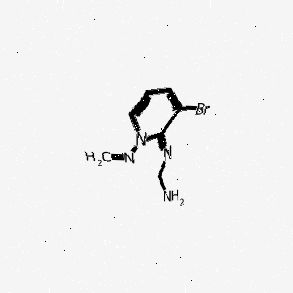 C=Nn1cccc(Br)/c1=N/CN